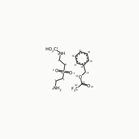 NCCS(=O)(=O)CCNC(=O)O.O=C(OCc1ccccc1)C(F)(F)F